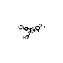 CC1CCC(Nc2ncc(-c3ccc(N4CCOCC4)cc3)c(OCC3CNC3)n2)CC1